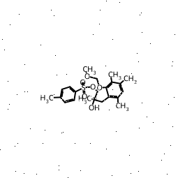 COCOc1c(C)c(C)cc(C)c1C[C@@](C)(O)COS(=O)(=O)c1ccc(C)cc1